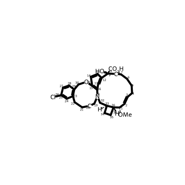 CO[C@H]1/C=C/CCCCC[C@](O)(C(=O)O)c2ccc3c(c2)N(CCCCc2cc(Cl)ccc2CO3)C[C@@H]2CC[C@H]21